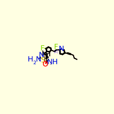 CCCC#Cc1ccc(/C(F)=C/c2ccc(F)c([C@@]3(C)N=C(N)S[C@@]4(C(=O)NC)C[C@H]43)c2)nc1